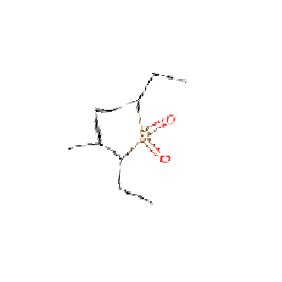 CCC1CC(C)C(CC)S1(=O)=O